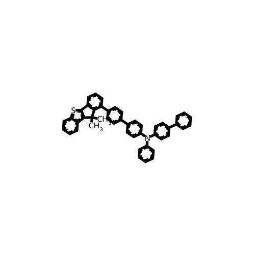 CC1(C)c2c(-c3ccc(-c4ccc(N(c5ccccc5)c5ccc(-c6ccccc6)cc5)cc4)cc3)cccc2-c2sc3ccccc3c21